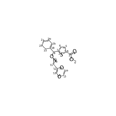 COC(=O)c1ccc(C(ON=CC2=COC=CO2)C2=CC=CCC2)s1